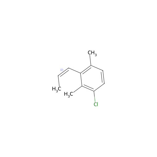 C/C=C\c1c(C)ccc(Cl)c1C